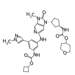 Cn1cc(-c2cc(NC(=O)OC3CCC3)cc(Nc3cc4c(cn3)n(C)c(=O)n4[C@@H]3CC[C@@H](NC(=O)OC4CCOCC4)C3)c2)cn1